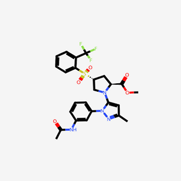 COC(=O)[C@@H]1C[C@@H](S(=O)(=O)c2ccccc2C(F)(F)F)CN1c1cc(C)nn1-c1cccc(NC(C)=O)c1